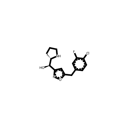 O[C@H](c1cc(Cc2ccc(Cl)c(F)c2)on1)[C@@H]1CCCN1